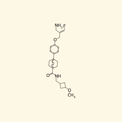 COC1CC(CNC(=O)C23CCC(c4ccc(OC/C(=C/F)CN)cc4)(CC2)CC3)C1